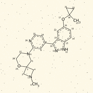 CN1CC2(C1)CN(c1cc(-c3n[nH]c4ccc(OC5(C)CC5)cc34)ccn1)CCO2